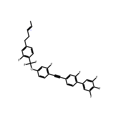 C/C=C/CCc1ccc(C(F)(F)Oc2ccc(C#Cc3ccc(-c4cc(F)c(F)c(F)c4)c(F)c3)c(F)c2)c(F)c1